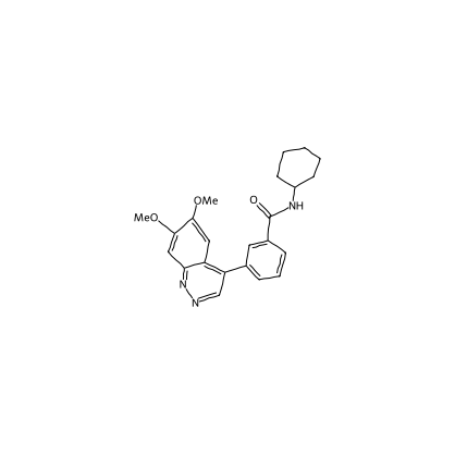 COc1cc2nncc(-c3cccc(C(=O)NC4CCCCC4)c3)c2cc1OC